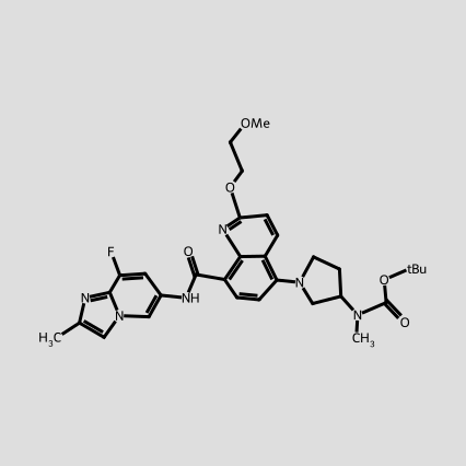 COCCOc1ccc2c(N3CCC(N(C)C(=O)OC(C)(C)C)C3)ccc(C(=O)Nc3cc(F)c4nc(C)cn4c3)c2n1